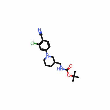 CC(C)(C)OC(=O)NCC1CCCN(c2ccc(C#N)c(Cl)c2)C1